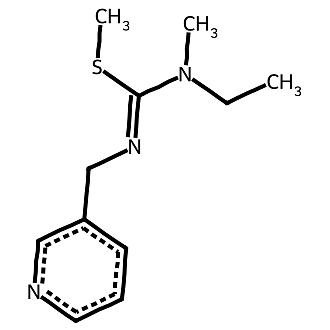 CCN(C)C(=NCc1cccnc1)SC